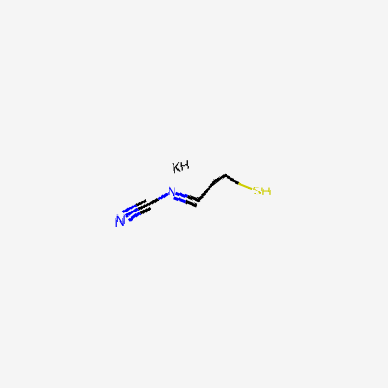 N#CN=CCS.[KH]